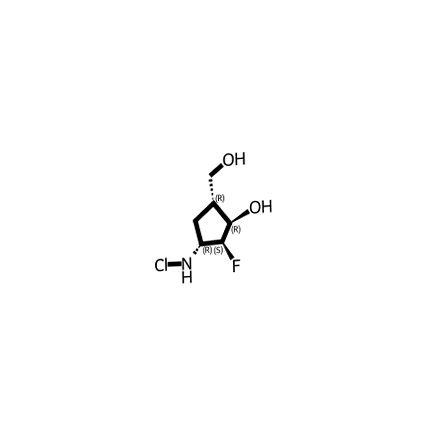 OC[C@H]1C[C@@H](NCl)[C@H](F)[C@@H]1O